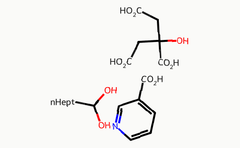 CCCCCCCC(O)O.O=C(O)CC(O)(CC(=O)O)C(=O)O.O=C(O)c1cccnc1